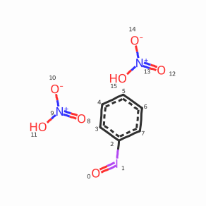 O=Ic1ccccc1.O=[N+]([O-])O.O=[N+]([O-])O